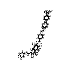 O=c1[nH]c(CSC2CCOCC2)nc2cc(NCC3CCN(CCN4CCN(c5ccc([N+](=O)[O-])cc5)CC4)CC3)c(F)c(F)c12